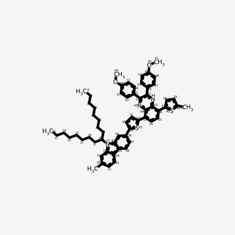 CCCCCCCCC(CCCCCCCC)n1c2cc(C)ccc2c2ccc(-c3ccc(-c4ccc(-c5ccc(C)s5)c5nc(-c6ccc(OC)cc6)c(-c6ccc(OC)cc6)nc45)s3)cc21